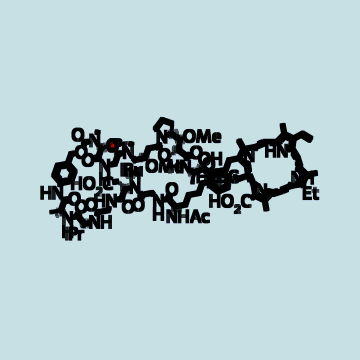 C=Cc1c(C)c2cc3nc(c(CC(=O)O)c4nc(cc5[nH]c(cc1[nH]2)c(C)c5CC)C(C)=C4C(=O)O)C(CCC(=O)NCCCC[C@H](NC(C)=O)C(=O)NCC(=O)N[C@@H](CC(=O)O)C(=O)NCC(=O)N[C@H](C(=O)N[C@@H](C)C(=O)Nc1ccc(COC(=O)N(C)[C@H](C(=O)NCC(=O)N(C)C([C@@H](C)CC)[C@@H](CC(=O)N2CCC[C@H]2[C@H](OC)[C@@H](C)C(=O)N[C@H](C)[C@@H](O)c2ccccc2)OC)C(C)C)cc1)C(C)C)C3C